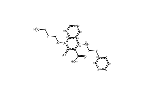 CCCCOn1c(=O)c(C(=O)O)c(NCCc2ccccc2)c2cncnc21